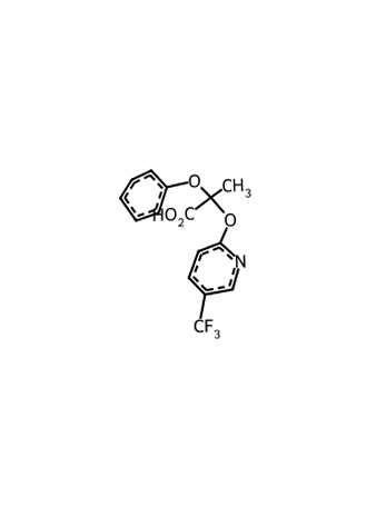 CC(Oc1ccccc1)(Oc1ccc(C(F)(F)F)cn1)C(=O)O